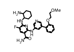 COCCOc1ccccc1-c1cncc(Nc2nc(NC3CCCCC3N)c(F)cc2C(N)=O)c1